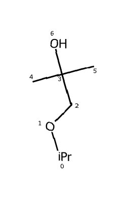 CC(C)OCC(C)(C)O